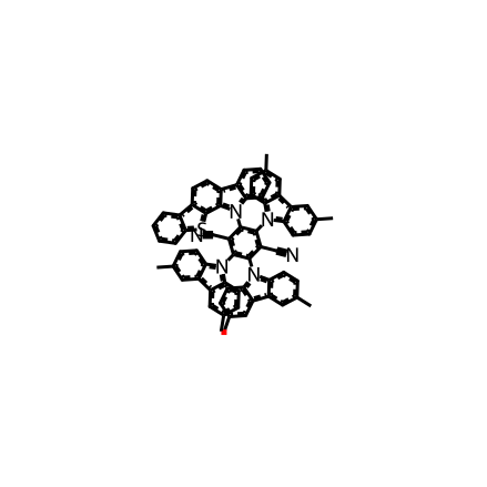 Cc1ccc2c(c1)c1cc(C)ccc1n2-c1c(C#N)c(-n2c3ccc(C)cc3c3cc(C)ccc32)c(-n2c3ccccc3c3ccc4c5ccccc5sc4c32)c(C#N)c1-n1c2ccc(C)cc2c2cc(C)ccc21